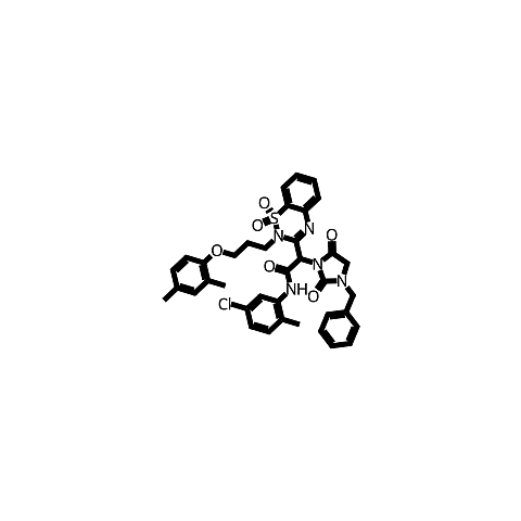 Cc1ccc(OCCCN2C(C(C(=O)Nc3cc(Cl)ccc3C)N3C(=O)CN(Cc4ccccc4)C3=O)=Nc3ccccc3S2(=O)=O)c(C)c1